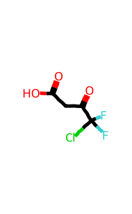 O=C(O)CC(=O)C(F)(F)Cl